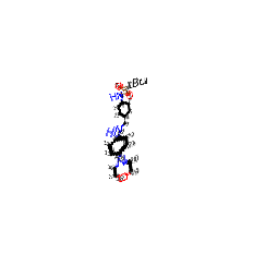 CC(C)(C)S(=O)(=O)N[C@H]1CC[C@@H](CNc2ccc(N3CCOCC3)cc2)CC1